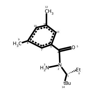 CC[C@@H](N(N)C(=O)c1cc(C)cc(C)c1)C(C)(C)C